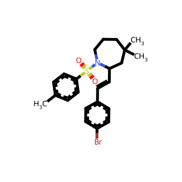 Cc1ccc(S(=O)(=O)N2CCCC(C)(C)CC2C=Cc2ccc(Br)cc2)cc1